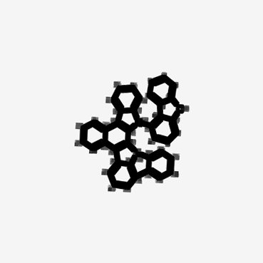 c1ccc2c(c1)oc1cccc(-n3c4ccccc4c4c5ccccc5c5c6cccc7c8ccccc8n(c76)c5c43)c12